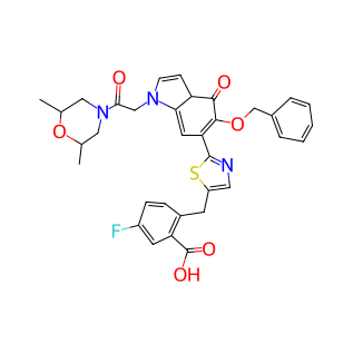 CC1CN(C(=O)CN2C=CC3C(=O)C(OCc4ccccc4)=C(c4ncc(Cc5ccc(F)cc5C(=O)O)s4)C=C32)CC(C)O1